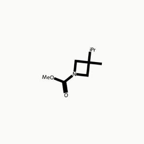 COC(=O)N1CC(C)(C(C)C)C1